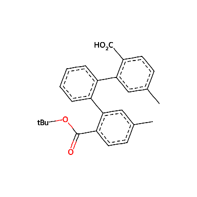 Cc1ccc(C(=O)O)c(-c2ccccc2-c2cc(C)ccc2C(=O)OC(C)(C)C)c1